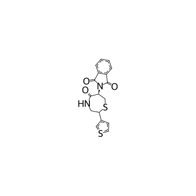 O=C1NCC(c2ccsc2)SC[C@@H]1N1C(=O)c2ccccc2C1=O